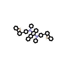 c1ccc(N(c2ccc(-c3cccc4c3sc3ccccc34)cc2)c2c3ccccc3c(N(c3ccccc3)c3ccc(-c4cccc5c4sc4ccccc45)cc3)c3cc4ccccc4cc23)cc1